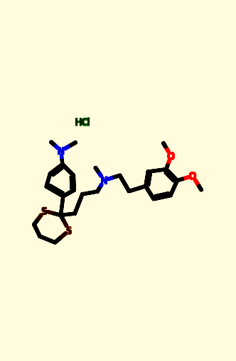 COc1ccc(CCN(C)CCCC2(c3ccc(N(C)C)cc3)SCCCS2)cc1OC.Cl